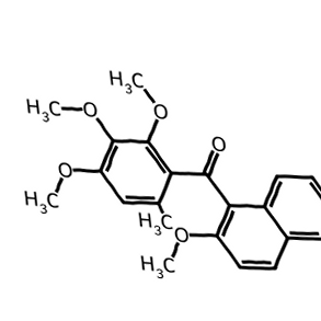 COc1cc(C)c(C(=O)c2c(OC)ccc3ccccc23)c(OC)c1OC